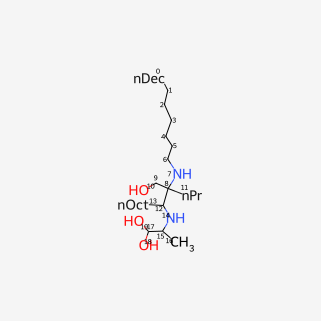 C[CH]CCCCCCCCCCCCCCNC(CO)(CCC)C(CCCCCCCC)NC(C)C(O)O